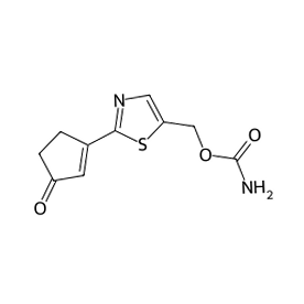 NC(=O)OCc1cnc(C2=CC(=O)CC2)s1